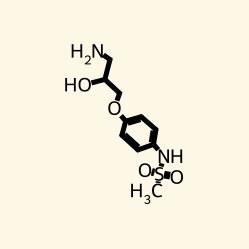 CS(=O)(=O)Nc1ccc(OCC(O)CN)cc1